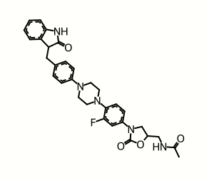 CC(=O)NCC1CN(c2ccc(N3CCN(c4ccc(CC5C(=O)Nc6ccccc65)cc4)CC3)c(F)c2)C(=O)O1